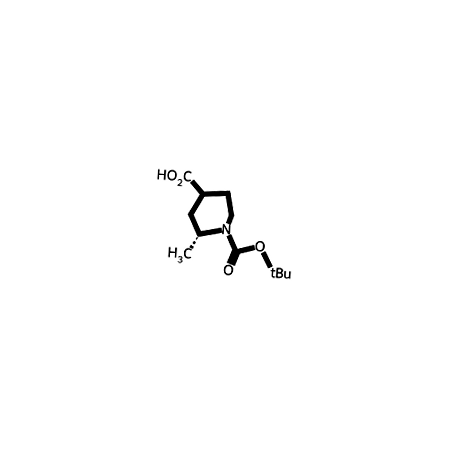 C[C@@H]1CC(C(=O)O)CCN1C(=O)OC(C)(C)C